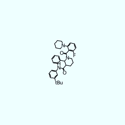 CC(C)(C)c1cccc(NC(=O)C2CCCN(C(=O)c3c(F)cccc3N3CCCCC3)C2c2ccccc2)c1